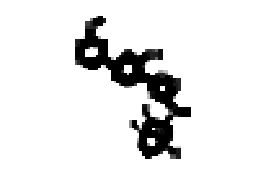 COc1cc(-c2ccc(-c3nnc(N(C)[C@@H]4C[C@H]5CC[C@](C)(N5)[C@@H]4F)s3)c(O)c2)cnn1